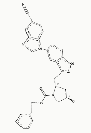 CO[C@@H]1C[C@@H](Cc2c[nH]c3ccc(-n4cnc5cc(C#N)ccc54)cc23)N(C(=O)OCc2ccccc2)C1